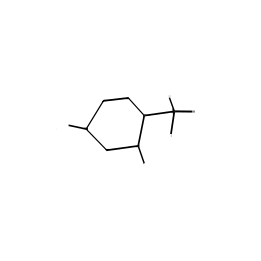 CC1CCC(C(C)(C)C)C(O)C1